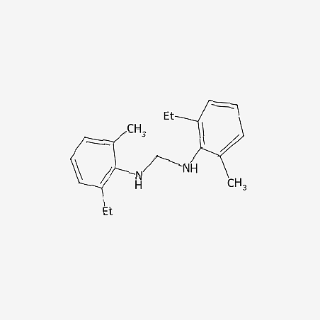 CCc1cccc(C)c1NCNc1c(C)cccc1CC